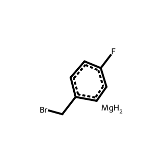 Fc1ccc(CBr)cc1.[MgH2]